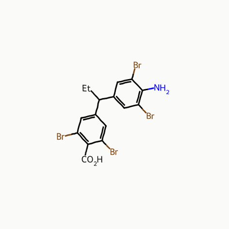 CCC(c1cc(Br)c(N)c(Br)c1)c1cc(Br)c(C(=O)O)c(Br)c1